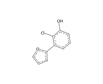 Oc1cc[c]c(-c2ccco2)c1Cl